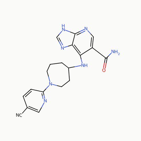 N#Cc1ccc(N2CCCC(Nc3c(C(N)=O)cnc4[nH]cnc34)CC2)nc1